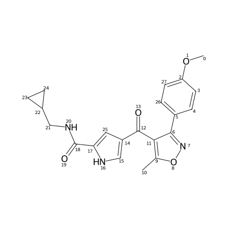 COc1ccc(-c2noc(C)c2C(=O)c2c[nH]c(C(=O)NCC3CC3)c2)cc1